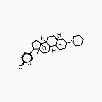 C[C@]12CC[C@H](N3CCCCC3)C[C@H]1CC[C@@H]1[C@@H]2CC[C@]2(C)[C@@H](c3ccc(=O)oc3)CC[C@]12O